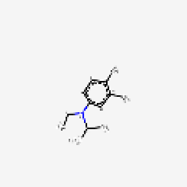 CC(C(=O)O)N(CC(F)(F)F)c1ccc(C#N)c(C(F)(F)F)c1